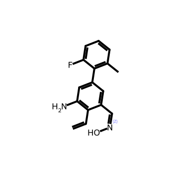 C=Cc1c(N)cc(-c2c(C)cccc2F)cc1/C=N\O